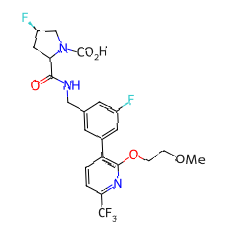 COCCOc1nc(C(F)(F)F)ccc1-c1cc(F)cc(CNC(=O)C2C[C@@H](F)CN2C(=O)O)c1